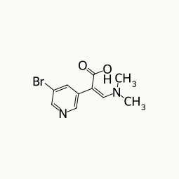 CN(C)C=C(C(=O)O)c1cncc(Br)c1